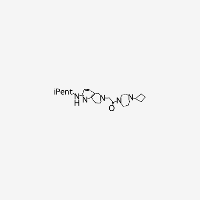 CCCC(C)Nc1ccc2c(n1)CCN(CC(=O)N1CCN(C3CCC3)CC1)C2